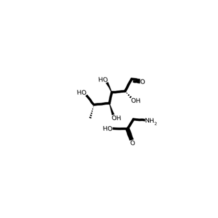 C[C@H](O)[C@H](O)[C@@H](O)[C@@H](O)C=O.NCC(=O)O